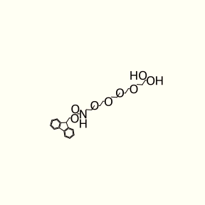 O=C(NCCOCCOCCOCCOCCC(O)O)OCC1c2ccccc2-c2ccccc21